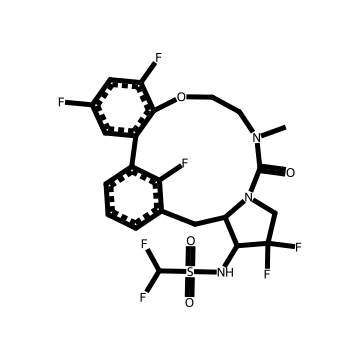 CN1CCOc2c(F)cc(F)cc2-c2cccc(c2F)CC2C(NS(=O)(=O)C(F)F)C(F)(F)CN2C1=O